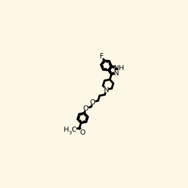 CC(=O)c1ccc(OCOCCCN2CCC(c3n[nH]c4cc(F)ccc34)CC2)cc1